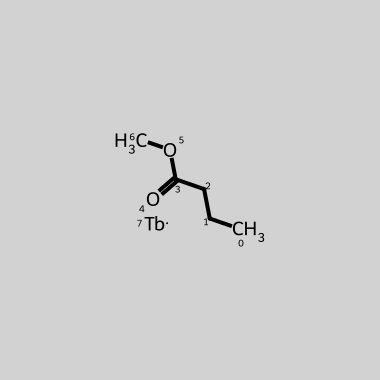 CCCC(=O)OC.[Tb]